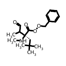 CN[C@](CC(C)(C)C)(C(=O)OOCc1ccccc1)C(C)C=O